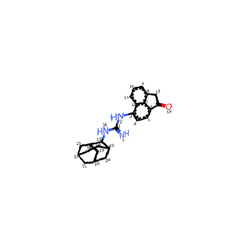 N=C(Nc1ccc2c3c(cccc13)CC2=O)NC1C2CC3CC(C2)CC1C3